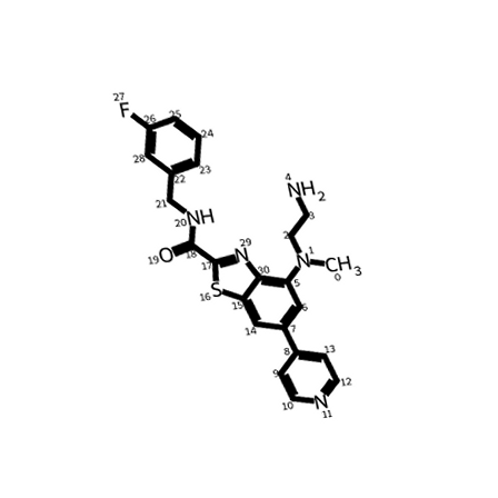 CN(CCN)c1cc(-c2ccncc2)cc2sc(C(=O)NCc3cccc(F)c3)nc12